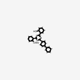 COc1ccccc1-c1nc(-c2ccc(-c3ccccc3)cc2)nc(-c2ccccc2O)n1